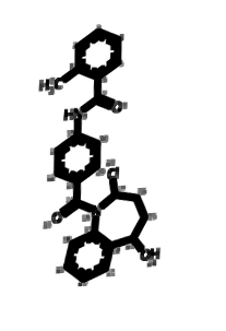 Cc1ccccc1C(=O)Nc1ccc(C(=O)N2c3ccccc3C(O)CCC2Cl)cc1